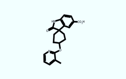 Cc1cccnc1OC1CCC2(CC1)C(=O)Nc1ccc(C(=O)O)cc12